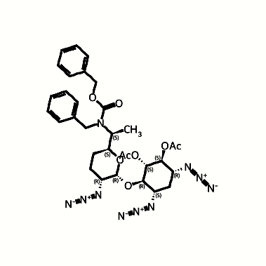 CC(=O)O[C@@H]1[C@@H](OC(C)=O)[C@H](N=[N+]=[N-])C[C@H](N=[N+]=[N-])[C@H]1O[C@H]1O[C@H]([C@H](C)N(Cc2ccccc2)C(=O)OCc2ccccc2)CC[C@H]1N=[N+]=[N-]